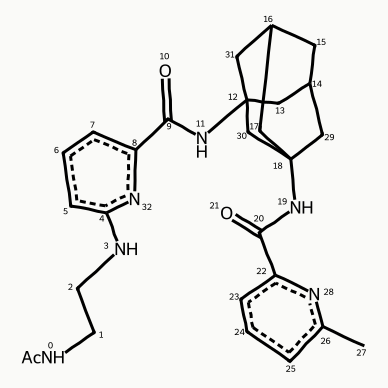 CC(=O)NCCNc1cccc(C(=O)NC23CC4CC(CC(NC(=O)c5cccc(C)n5)(C4)C2)C3)n1